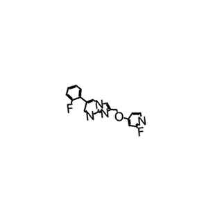 Fc1cc(OCc2cn3cc(-c4ccccc4F)cnc3n2)ccn1